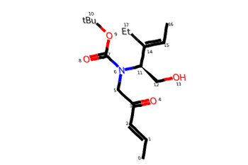 CC=CC(=O)CN(C(=O)OC(C)(C)C)[C@H](CO)C(=CC)CC